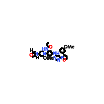 C=CC(=O)Nc1cc(Nc2cc(N3OCC[C@@H]3c3cccc(OC)c3)ncn2)c(OC)cc1N1CCC(N2C[C@H]3C[C@@H]2CO3)CC1